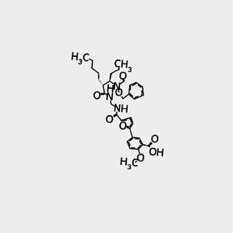 CCCCC[C@@H](C(=O)NCNC(=O)c1ccc(-c2ccc(OC)c(C(=O)O)c2)o1)[C@@H](CCC)N(C=O)OCc1ccccc1